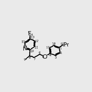 CC(C)c1ccc(OCCC(C)c2ccc(F)cn2)cc1